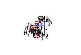 CC(CCC(=O)NC(C)(C)COC(C)(C)C(=O)C(C)(C)CC(C)(C)C(=O)C(C)(C)C)C(C)(C)C